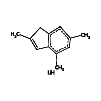 CC1=Cc2c(C)cc(C)cc2C1.[LiH]